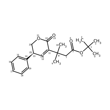 CC(C)(C)OC(=O)CC(C)(C)C1=N[C@@H](c2ccccc2)COC1=O